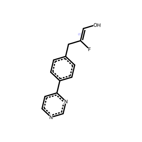 O/C=C(\F)Cc1ccc(-c2ccncn2)cc1